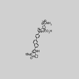 CC(C)(C)OC(=O)N1CCCC1c1ncc(-c2ccc3cc(-c4ccc(-c5cnc(C6CC(C(N)S(C)(=O)=O)CN6C(=O)O)[nH]5)cc4)ccc3c2)[nH]1